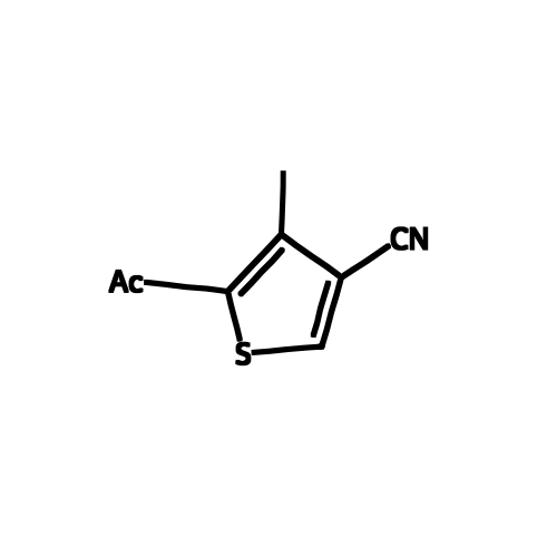 CC(=O)c1scc(C#N)c1C